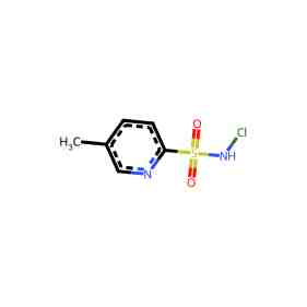 Cc1ccc(S(=O)(=O)NCl)nc1